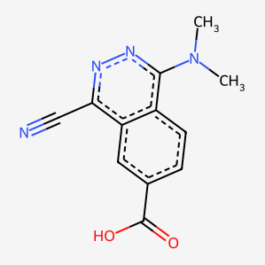 CN(C)c1nnc(C#N)c2cc(C(=O)O)ccc12